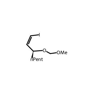 CCCCC[C@@H](/C=C\I)OCOC